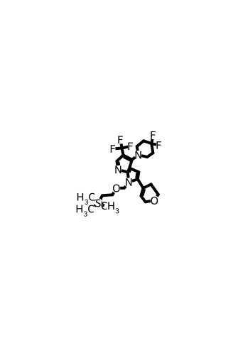 C[Si](C)(C)CCOCn1c(C2=CCOCC2)cc2c(N3CCC(F)(F)CC3)c(C(F)(F)F)cnc21